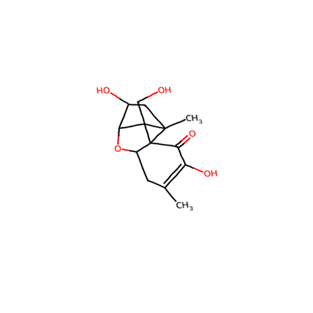 CC1=C(O)C(=O)C23C(C1)OC1C(O)CC2(C)C13CO